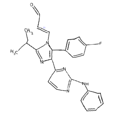 CC(C)c1nc(-c2ccnc(Nc3ccccc3)n2)c(-c2ccc(F)cc2)n1/C=C/C=O